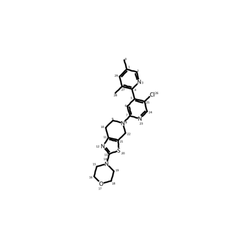 Cc1cnc(-c2cc(N3CCc4nc(N5CCOCC5)sc4C3)ncc2Cl)c(C)c1